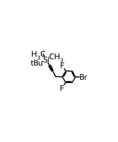 CC(C)(C)[Si](C)(C)C#CCc1c(F)cc(Br)cc1F